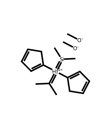 C[C](C)=[Hf+2]([C]1=CC=CC1)([C]1=CC=CC1)=[Si](C)C.C[O-].C[O-]